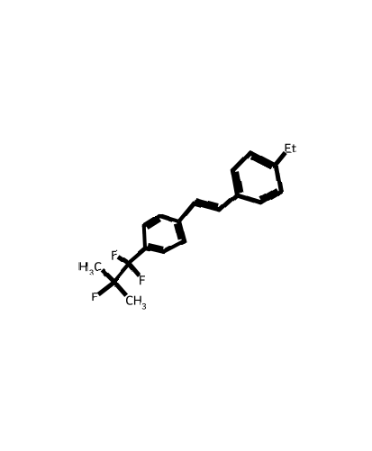 CCc1ccc(/C=C/c2ccc(C(F)(F)C(C)(C)F)cc2)cc1